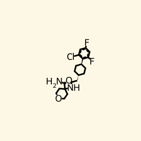 NC(=O)C1(NCC[C@H]2CC[C@H](c3c(F)cc(F)cc3Cl)CC2)CCOCC1